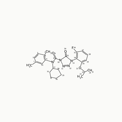 Cc1ccc(C)c(N(C(=O)n2nnn(-c3c(F)cccc3OC(C)C)c2=O)C2CCCCC2)c1